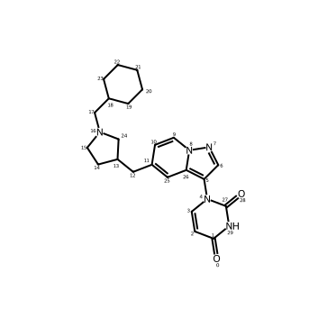 O=c1ccn(-c2cnn3ccc(CC4CCN(CC5CCCCC5)C4)cc23)c(=O)[nH]1